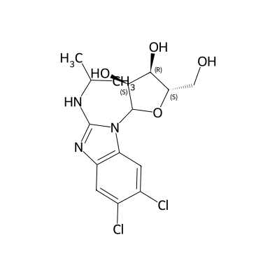 CC(C)Nc1nc2cc(Cl)c(Cl)cc2n1C1O[C@@H](CO)[C@H](O)[C@@H]1O